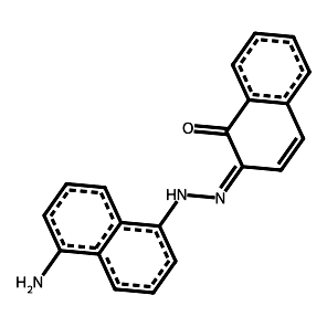 Nc1cccc2c(N/N=C3/C=Cc4ccccc4C3=O)cccc12